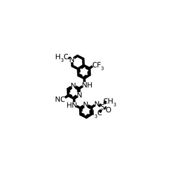 CN1CCc2c(cc(Nc3ncc(C#N)c(Nc4cccc(N=S(C)(C)=O)n4)n3)cc2C(F)(F)F)C1